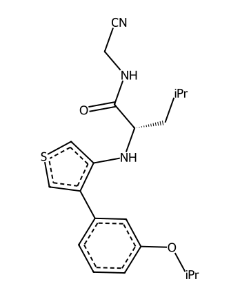 CC(C)C[C@H](Nc1cscc1-c1cccc(OC(C)C)c1)C(=O)NCC#N